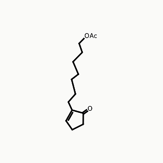 CC(=O)OCCCCCCCC1=CCCC1=O